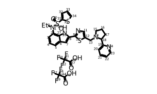 CCN(c1cccc2cc(-c3ncc(CN4CCCC4c4ccccn4)s3)[nH]c12)S(=O)(=O)c1cccs1.O=C(O)C(F)(F)F.O=C(O)C(F)(F)F